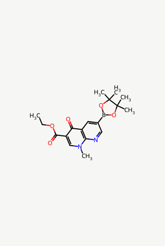 CCOC(=O)c1cn(C)c2ncc(B3OC(C)(C)C(C)(C)O3)cc2c1=O